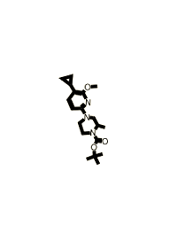 COc1nc(N2CCN(C(=O)OC(C)(C)C)C(C)C2)ccc1C1CC1